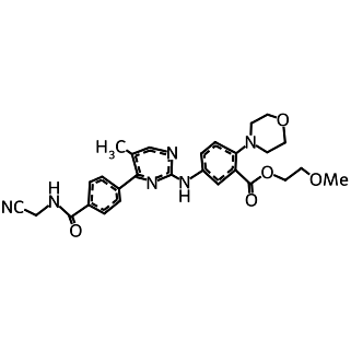 COCCOC(=O)c1cc(Nc2ncc(C)c(-c3ccc(C(=O)NCC#N)cc3)n2)ccc1N1CCOCC1